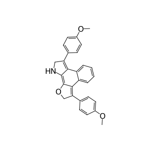 COc1ccc(C2=c3c(c4c(c5ccccc35)=C(c3ccc(OC)cc3)CO4)NC2)cc1